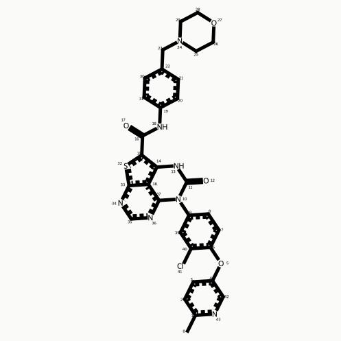 Cc1ccc(Oc2ccc(N3C(=O)Nc4c(C(=O)Nc5ccc(CN6CCOCC6)cc5)sc5ncnc3c45)cc2Cl)cn1